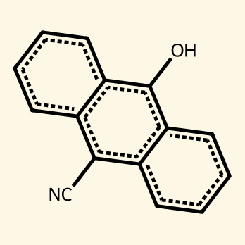 N#Cc1c2ccccc2c(O)c2ccccc12